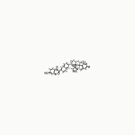 CC(CC1COC(c2ccc3cc(C(=O)Nc4ccc(C#N)cc4F)ccc3c2)OC1)C(O)(Cn1cncn1)c1ccc(F)cc1F